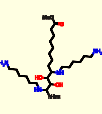 CCCCCCC(NCCCCCCN)C(O)C(O)C(CCCCCCCC(=O)OC)NCCCCCCN